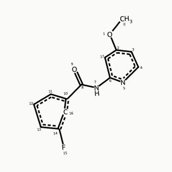 COc1ccnc(NC(=O)c2cccc(F)c2)c1